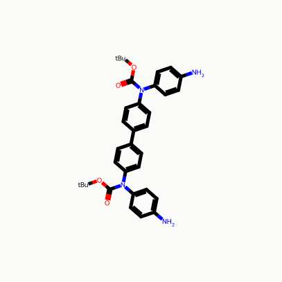 CC(C)(C)OC(=O)N(c1ccc(N)cc1)c1ccc(-c2ccc(N(C(=O)OC(C)(C)C)c3ccc(N)cc3)cc2)cc1